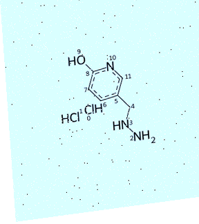 Cl.Cl.NNCc1ccc(O)nc1